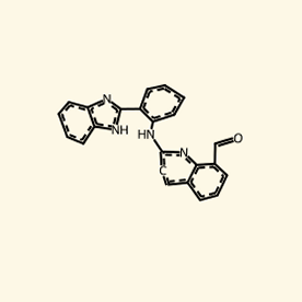 O=Cc1cccc2ccc(Nc3ccccc3-c3nc4ccccc4[nH]3)nc12